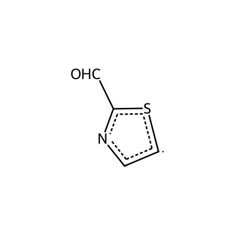 O=Cc1nc[c]s1